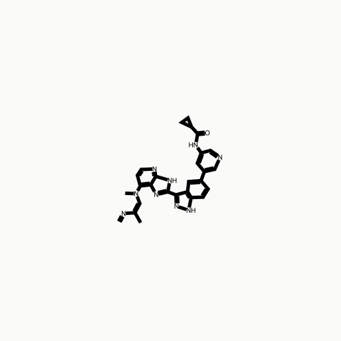 C=N/C(C)=C\N(C)c1ccnc2[nH]c(-c3n[nH]c4ccc(-c5cncc(NC(=O)C6CC6)c5)cc34)nc12